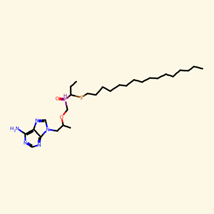 CCCCCCCCCCCCCCCCSC(CC)[PH](=O)COC(C)Cn1cnc2c(N)ncnc21